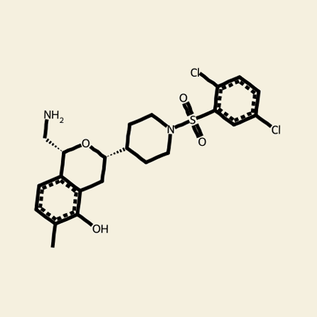 Cc1ccc2c(c1O)C[C@@H](C1CCN(S(=O)(=O)c3cc(Cl)ccc3Cl)CC1)O[C@H]2CN